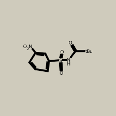 CC(C)(C)C(=O)NS(=O)(=O)c1cccc([N+](=O)[O-])c1